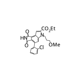 CCOC(=O)c1cc2c3c(c(-c4ccccc4Cl)cc2n1CCCOC)C(=O)NC3=O